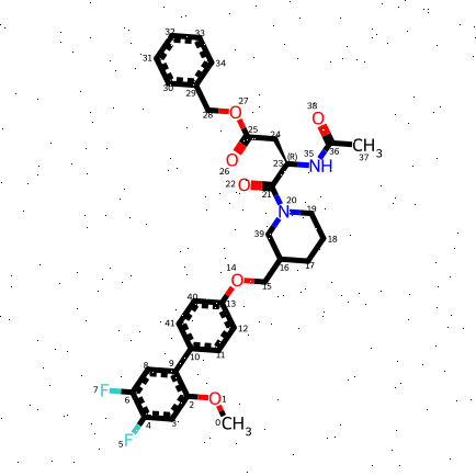 COc1cc(F)c(F)cc1-c1ccc(OCC2CCCN(C(=O)[C@@H](CC(=O)OCc3ccccc3)NC(C)=O)C2)cc1